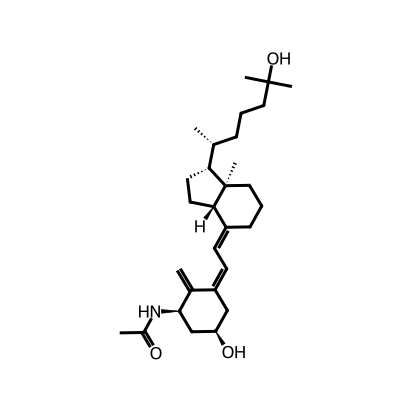 C=C1/C(=C\C=C2/CCC[C@]3(C)[C@@H]([C@H](C)CCCC(C)(C)O)CC[C@@H]23)C[C@@H](O)C[C@H]1NC(C)=O